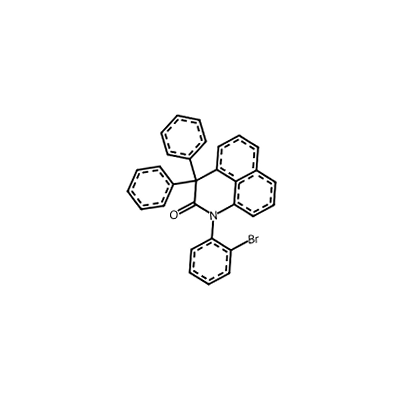 O=C1N(c2ccccc2Br)c2cccc3cccc(c23)C1(c1ccccc1)c1ccccc1